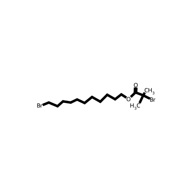 CC(C)(Br)C(=O)OCCCCCCCCCCCBr